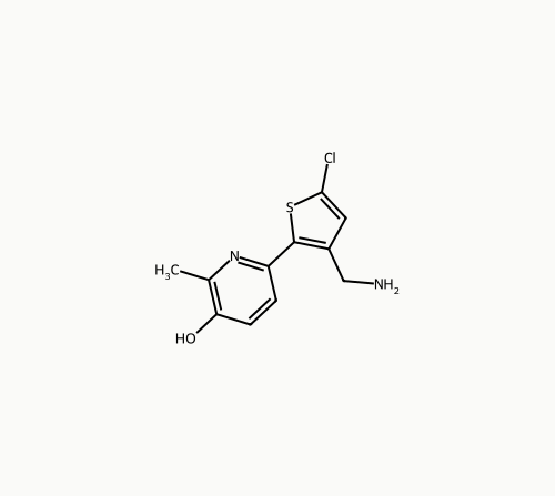 Cc1nc(-c2sc(Cl)cc2CN)ccc1O